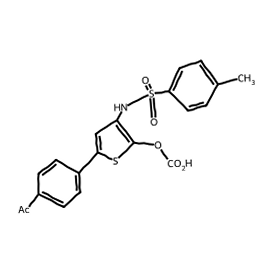 CC(=O)c1ccc(-c2cc(NS(=O)(=O)c3ccc(C)cc3)c(OC(=O)O)s2)cc1